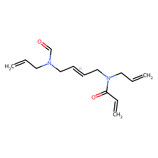 C=CCN(C=O)C/C=C/CN(CC=C)C(=O)C=C